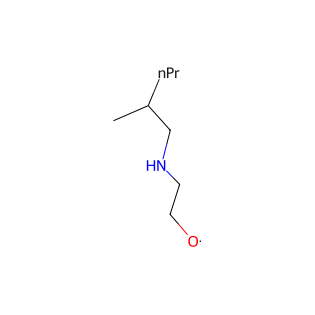 CCCC(C)CNCC[O]